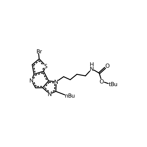 CCCCc1nc2cnc3cc(Br)sc3c2n1CCCCNC(=O)OC(C)(C)C